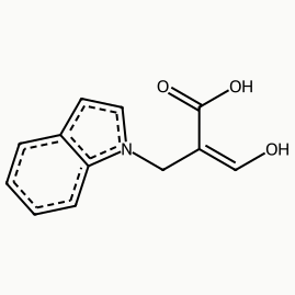 O=C(O)C(=CO)Cn1ccc2ccccc21